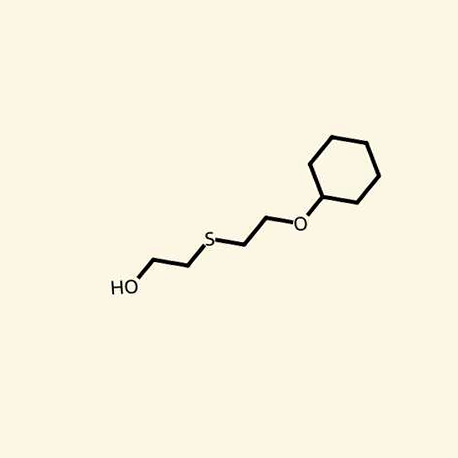 OCCSCCOC1CCCCC1